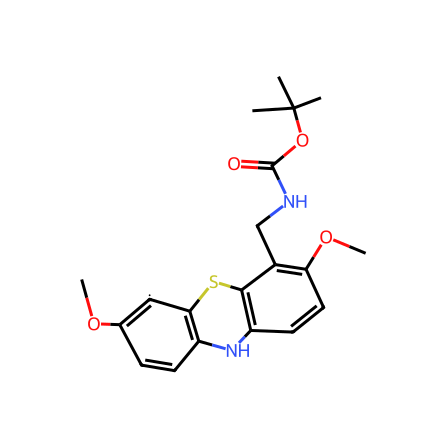 COc1[c]c2c(cc1)Nc1ccc(OC)c(CNC(=O)OC(C)(C)C)c1S2